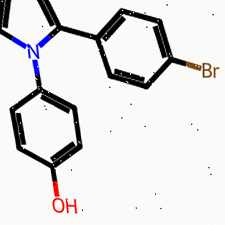 Oc1ccc(-n2cccc2-c2ccc(Br)cc2)cc1